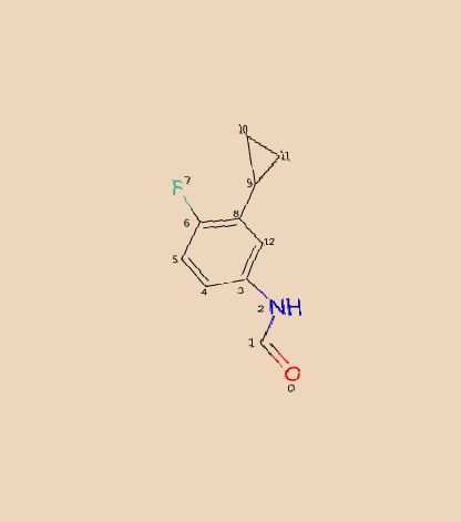 O=CNc1ccc(F)c(C2CC2)c1